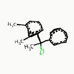 Cc1cccc(C(C)(Cl)c2ccccc2)c1C